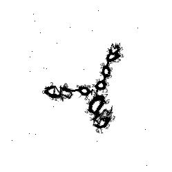 c1ccn2cc(-c3ccc(N(c4ccc(-c5ccc(-c6ccc7ccncc7c6)cc5)cc4)c4ccc(-c5cn6ccccc6n5)cc4)cc3)nc2c1